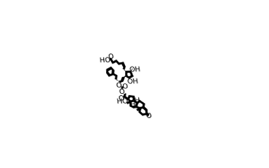 CC12CCC(=O)C=C1CC[C@@H]1C2=CCC2(C)[C@H]1CC[C@]2(O)C(=O)COC(=O)O[C@@H](/C=C/[C@H]1[C@H](C/C=C\CCCC(=O)O)[C@H](O)C[C@@H]1O)CCc1ccccc1